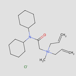 C=CC[N+](C)(CC=C)CC(=O)N(C1CCCCC1)C1CCCCC1.[Cl-]